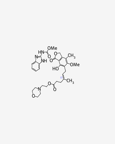 COC(=O)Nc1nc2ccccc2[nH]1.COc1c(C)c2c(c(O)c1C/C=C(\C)CCC(=O)OCCN1CCOCC1)C(=O)OC2